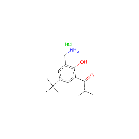 CC(C)C(=O)c1cc(C(C)(C)C)cc(CN)c1O.Cl